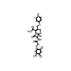 C[n+]1ccc(SCC2=C(C(=O)O)N3C(=O)[C@H](NC(=O)CSc4cc(Cl)c(Cl)cc4Cl)[C@H]3SC2)cc1